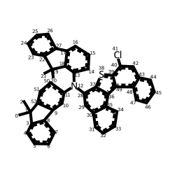 CC1(C)c2ccccc2-c2cc(N(c3cccc4c3C(C)(C)c3ccccc3-4)c3cc4ccccc4c4c3sc3c(Cl)cc5ccccc5c34)ccc21